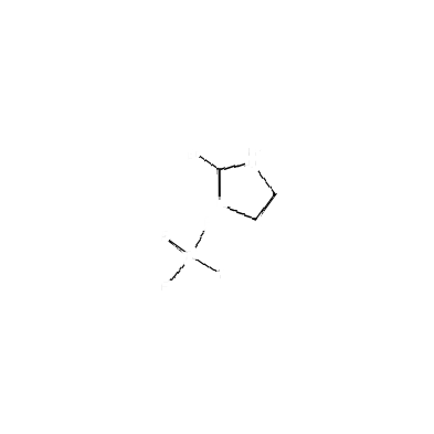 CCC1OCC[OH+]1.F[B-](F)(F)F